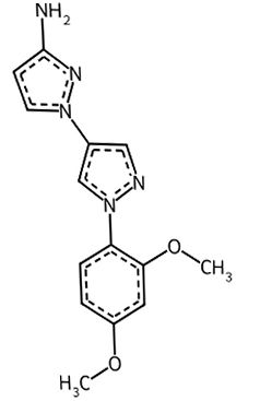 COc1ccc(-n2cc(-n3ccc(N)n3)cn2)c(OC)c1